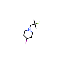 CC(C)(F)CN1CCC(I)CC1